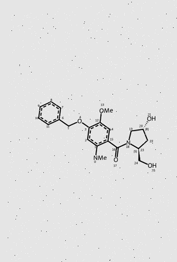 CNc1cc(OCc2ccccc2)c(OC)cc1C(=O)N1C[C@H](O)C[C@H]1CO